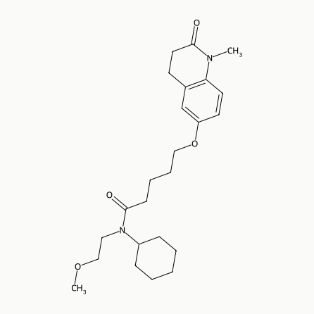 COCCN(C(=O)CCCCOc1ccc2c(c1)CCC(=O)N2C)C1CCCCC1